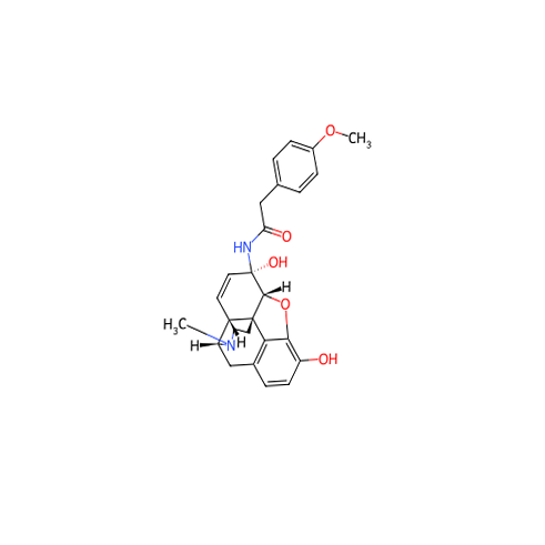 COc1ccc(CC(=O)N[C@]2(O)C=C[C@H]3[C@H]4Cc5ccc(O)c6c5[C@@]3(CCN4C)[C@H]2O6)cc1